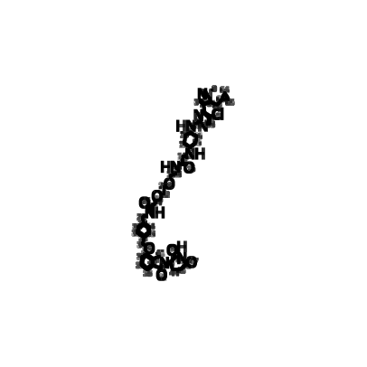 Cn1ncc(-c2nc(N[C@H]3CC[C@H](NCC(=O)NCCOCCOCC(=O)NCc4ccc(COc5cccc6c5CN(C5CCC(=O)NC5=O)C6=O)cc4)CC3)ncc2Cl)c1CC1CC1